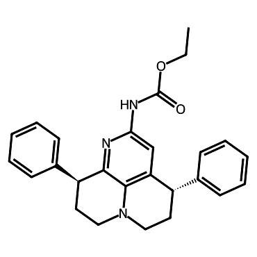 CCOC(=O)Nc1cc2c3c(n1)[C@H](c1ccccc1)CCN3CC[C@H]2c1ccccc1